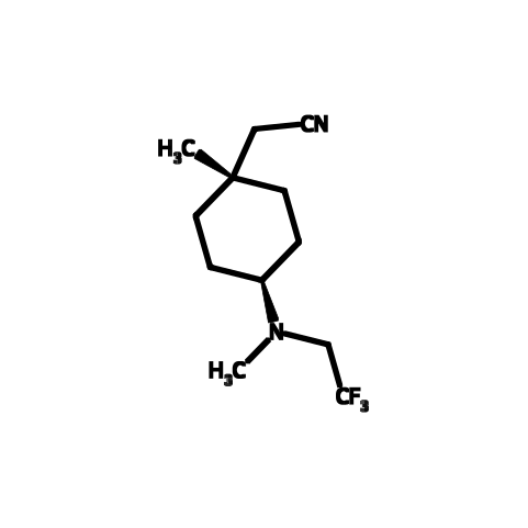 CN(CC(F)(F)F)[C@H]1CC[C@](C)(CC#N)CC1